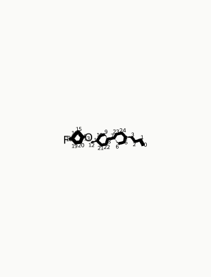 C=CCC[C@H]1CC[C@H]([C@H]2CC[C@H](COc3ccc(F)cc3)CC2)CC1